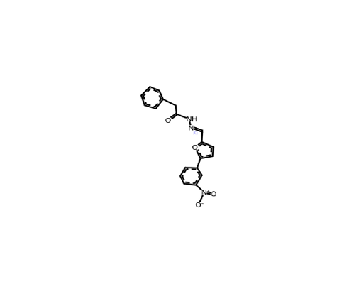 O=C(Cc1ccccc1)N/N=C/c1ccc(-c2cccc([N+](=O)[O-])c2)o1